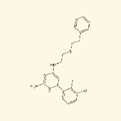 Cc1c(Cl)cccc1C1C=C(NCCSCCc2ccccc2)N=C(N)N1